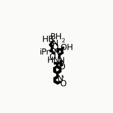 BBc1cc(C(C(=O)N2CC(O)CC2C2=NC(=O)C(C)(c3ccc(-c4cccc(=O)n4C)cc3)N2)C(C)C)on1